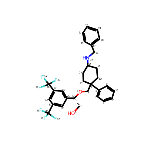 OC[C@@H](OCC1(c2ccccc2)CCC(NCc2ccccc2)CC1)c1cc(C(F)(F)F)cc(C(F)(F)F)c1